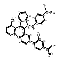 N#Cc1cccc(C#N)c1-c1c(-c2cccc(-c3ccc(C(=O)N=O)cc3Cl)c2)n(Sc2ccc(C(F)F)cc2)c2ccccc12